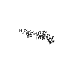 CCCC[C@@H](CCCNC(=O)C(=O)c1c(Cl)c(C(=O)Nc2cc(F)c(F)c(F)c2)c2n1CCC2)CC(=O)O